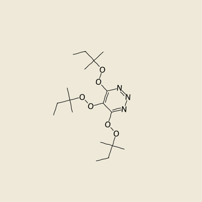 CCC(C)(C)OOc1nnnc(OOC(C)(C)CC)c1OOC(C)(C)CC